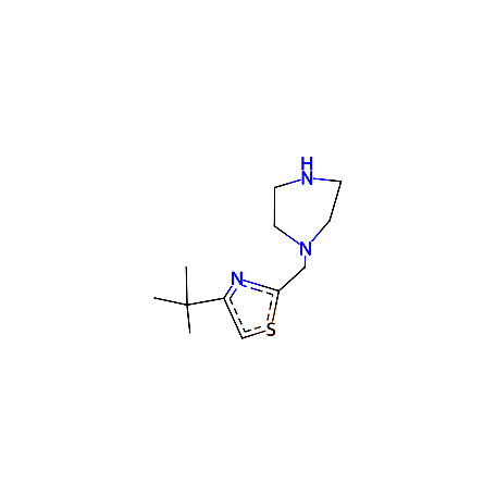 CC(C)(C)c1csc(CN2CCNCC2)n1